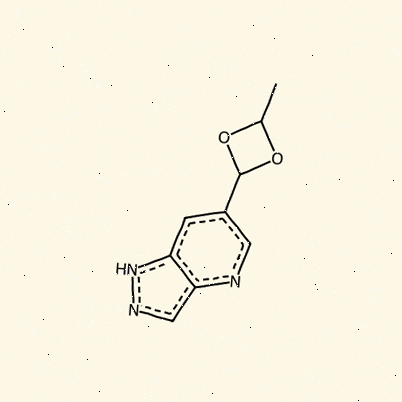 CC1OC(c2cnc3cn[nH]c3c2)O1